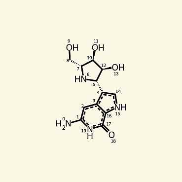 Nc1cc2c([C@@H]3N[C@H](CO)[C@@H](O)[C@H]3O)c[nH]c2c(=O)[nH]1